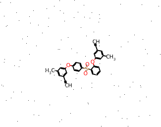 C#Cc1cc(C)cc(Oc2ccc(S(=O)(=O)c3ccccc3Oc3cc(C)cc(C#C)c3)cc2)c1